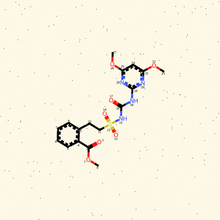 COC(=O)c1ccccc1CCS(=O)(=O)NC(=O)Nc1nc(OC)cc(OC)n1